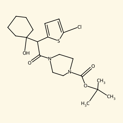 CC(C)(C)OC(=O)N1CCN(C(=O)C(c2ccc(Cl)s2)C2(O)CCCCC2)CC1